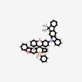 CC1(C)c2ccccc2-c2cc3c4ccccc4n(-c4ccc5c(c4)Oc4ccccc4C54c5ccccc5P(=O)(c5ccccc5)c5cc6oc7ccccc7c6cc54)c3cc21